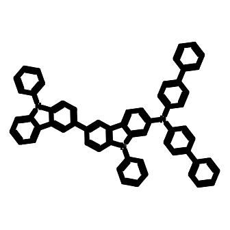 c1ccc(-c2ccc(N(c3ccc(-c4ccccc4)cc3)c3ccc4c5cc(-c6ccc7c(c6)c6ccccc6n7-c6ccccc6)ccc5n(-c5ccccc5)c4c3)cc2)cc1